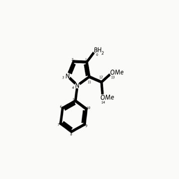 Bc1cnn(-c2ccccc2)c1C(OC)OC